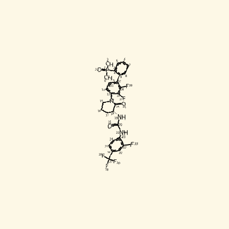 CP(C)(=O)c1ccccc1-c1ccc(N2CCC[C@@H](NC(=O)Nc3ccc(C(F)(F)F)cc3F)C2=O)c(F)c1F